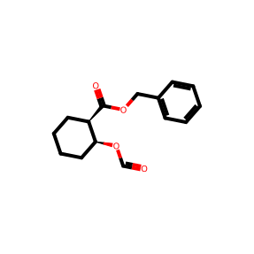 O=CO[C@H]1CCCC[C@H]1C(=O)OCc1ccccc1